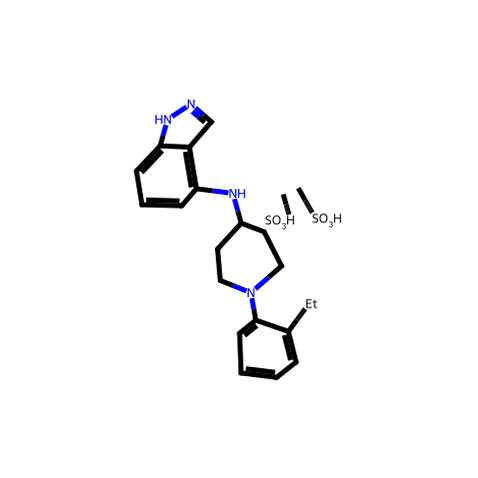 CCc1ccccc1N1CCC(Nc2cccc3[nH]ncc23)CC1.CS(=O)(=O)O.CS(=O)(=O)O